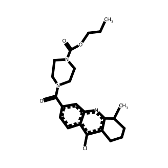 CCCOC(=O)N1CCN(C(=O)c2ccc3c(Cl)c4c(nc3c2)C(C)CCC4)CC1